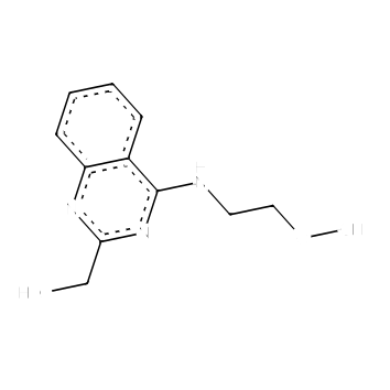 CCc1nc(NCCOC)c2ccccc2n1